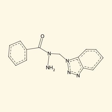 NN(Cn1nnc2ccccc21)C(=O)c1ccccc1